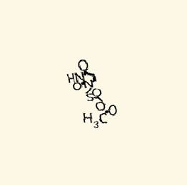 CC(=O)OCC1OC(n2ccc(=O)[nH]c2=O)CS1